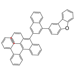 c1ccc(-c2ccccc2-c2c3ccccc3c(-c3cc(-c4ccc5oc6ccccc6c5c4)c4ccccc4c3)c3ccccc23)cc1